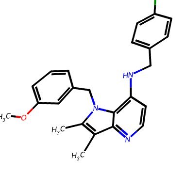 COc1cccc(Cn2c(C)c(C)c3nccc(NCc4ccc(F)cc4)c32)c1